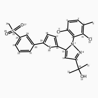 Cc1ccc(Cl)c(-n2nc(C(C)(C)O)cc2-c2ccc(-c3cccc(S(C)(=O)=O)c3)s2)c1Cl